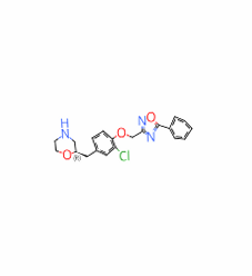 Clc1cc(C[C@@H]2CNCCO2)ccc1OCc1noc(-c2ccccc2)n1